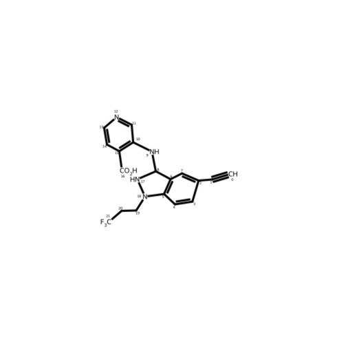 C#Cc1ccc2c(c1)C(Nc1cnccc1C(=O)O)NN2CCC(F)(F)F